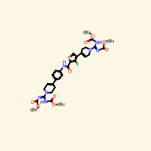 CC(C)(C)OC(=O)N=C(NC(=O)OC(C)(C)C)N1CC=C(c2ccc(NC(=O)c3scc(C4=CCN(C(=NC(=O)OC(C)(C)C)NC(=O)OC(C)(C)C)CC4)c3F)cc2)CC1